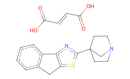 O=C(O)C=CC(=O)O.c1ccc2c(c1)Cc1sc(C34CCN(CC3)C4)nc1-2